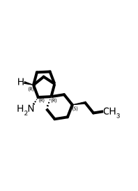 CCC[C@H]1CCC[C@@]2(C1)C1CC[C@H](C1)[C@H]2N